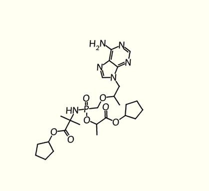 CC(Cn1cnc2c(N)ncnc21)OCP(=O)(NC(C)(C)C(=O)OC1CCCC1)OC(C)C(=O)OC1CCCC1